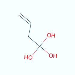 C=CCC(O)(O)O